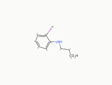 O=C(O)CCNc1ccccc1I